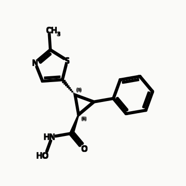 Cc1ncc([C@@H]2C(c3ccccc3)[C@H]2C(=O)NO)s1